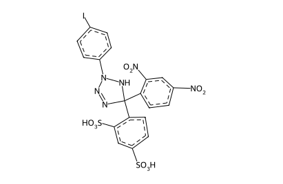 O=[N+]([O-])c1ccc(C2(c3ccc(S(=O)(=O)O)cc3S(=O)(=O)O)N=NN(c3ccc(I)cc3)N2)c([N+](=O)[O-])c1